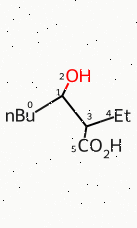 CCCCC(O)C(CC)C(=O)O